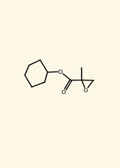 CC1(C(=O)OC2CCCCC2)CO1